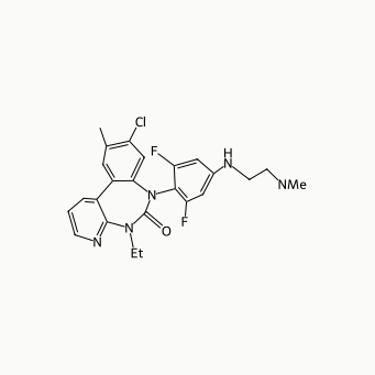 CCN1C(=O)N(c2c(F)cc(NCCNC)cc2F)c2cc(Cl)c(C)cc2-c2cccnc21